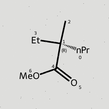 CCC[C@@](C)(CC)C(=O)OC